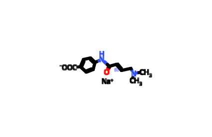 CN(C)C/C=C/C(=O)Nc1ccc(C(=O)[O-])cc1.[Na+]